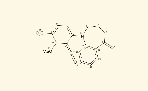 C=C1CCCN(C2=CC=C(C(=O)O)C(OC)C2=C=O)c2ccccc21